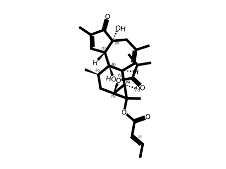 C/C=C/C(=O)OC1(C)[C@@H]2[C@@H]3C=C(C)C[C@]4(O)C(=O)C(C)=C[C@H]4[C@@]3(O)[C@H](C)C[C@]21OC(=O)C(C)C